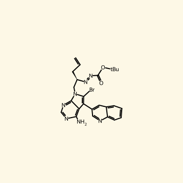 C=CC[C@H](Cn1c(Br)c(-c2cnc3ccccc3c2)c2c(N)ncnc21)N=NC(=O)OC(C)(C)C